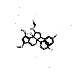 COC1=CC(OC)=C2C1=COC1(c3ccc(Cl)cc3)C(c3cccc(F)c3)CC(NC=O)C21O